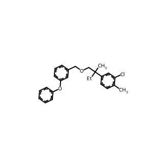 CCC(C)(COCc1cccc(Oc2ccccc2)c1)c1ccc(C)c(Cl)c1